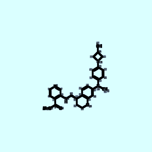 COC(=O)c1ccncc1NC[C@@H]1CCOc2cc(N(C)c3ccc(N4CC(O)C4)cc3)ccc21